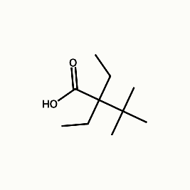 CCC(CC)(C(=O)O)C(C)(C)C